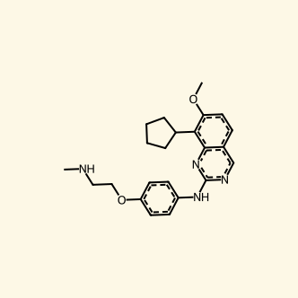 CNCCOc1ccc(Nc2ncc3ccc(OC)c(C4CCCC4)c3n2)cc1